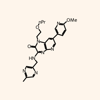 CCCOCCn1c(=O)c(NCc2cnc(C)cn2)nc2ncc(-c3ccc(OC)nc3)cc21